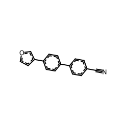 N#Cc1ccc(-c2ccc(-c3ccoc3)cc2)cc1